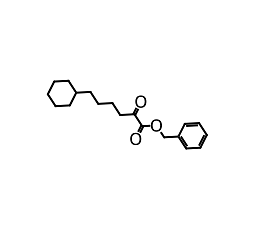 O=C(CCCCC1CCCCC1)C(=O)OCc1ccccc1